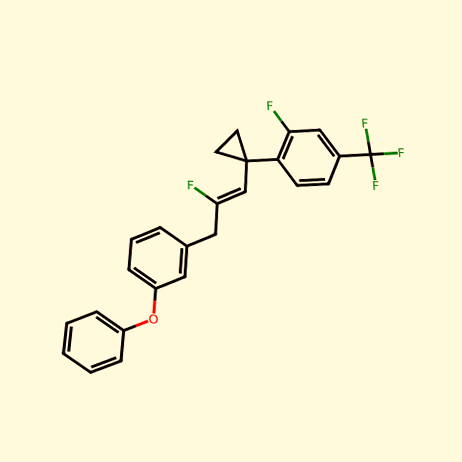 FC(=CC1(c2ccc(C(F)(F)F)cc2F)CC1)Cc1cccc(Oc2ccccc2)c1